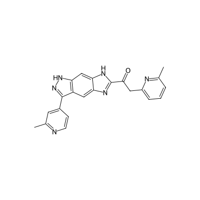 Cc1cc(-c2n[nH]c3cc4[nH]c(C(=O)Cc5cccc(C)n5)nc4cc23)ccn1